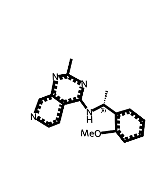 COc1ccccc1[C@@H](C)Nc1nc(C)nc2cnccc12